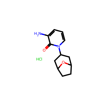 Cl.Nc1cccn(C2CC3CCC(C2)O3)c1=O